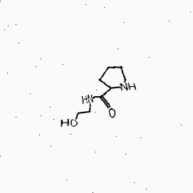 O=C(NCCO)C1CCCCN1